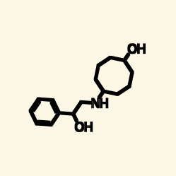 OC1CCCC(NCC(O)c2ccccc2)CCC1